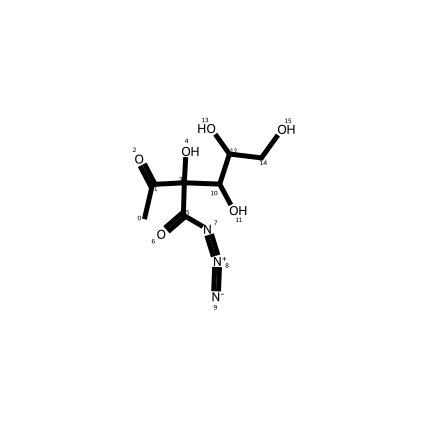 CC(=O)C(O)(C(=O)N=[N+]=[N-])C(O)C(O)CO